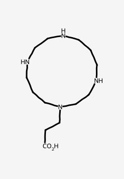 O=C(O)CCN1CCCNCCNCCCNCC1